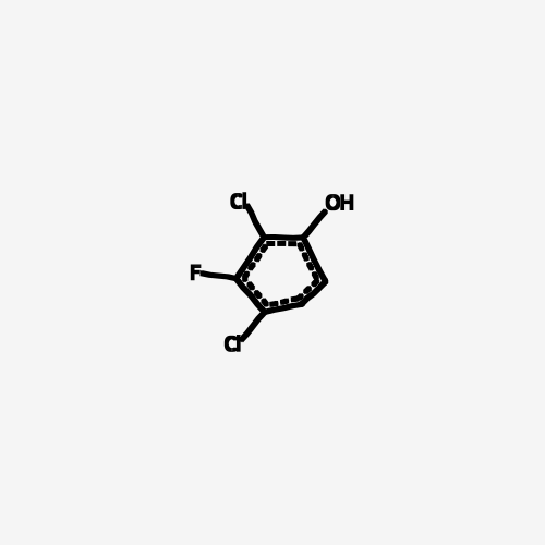 Oc1ccc(Cl)c(F)c1Cl